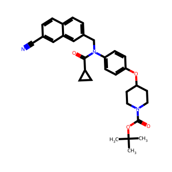 CC(C)(C)OC(=O)N1CCC(Oc2ccc(N(Cc3ccc4ccc(C#N)cc4c3)C(=O)C3CC3)cc2)CC1